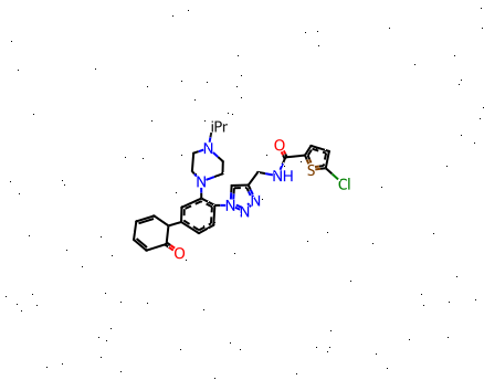 CC(C)N1CCN(c2cc(C3C=CC=CC3=O)ccc2-n2cc(CNC(=O)c3ccc(Cl)s3)nn2)CC1